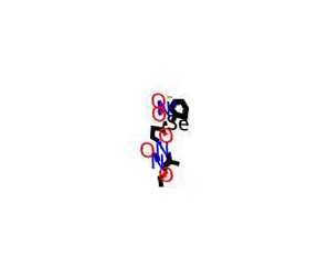 CCOc1nc(=O)n([C@H]2CC[C@@H](C[Se]c3ccccc3[N+](=O)[O-])O2)cc1C